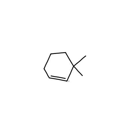 CC1(C)[C]=CCCC1